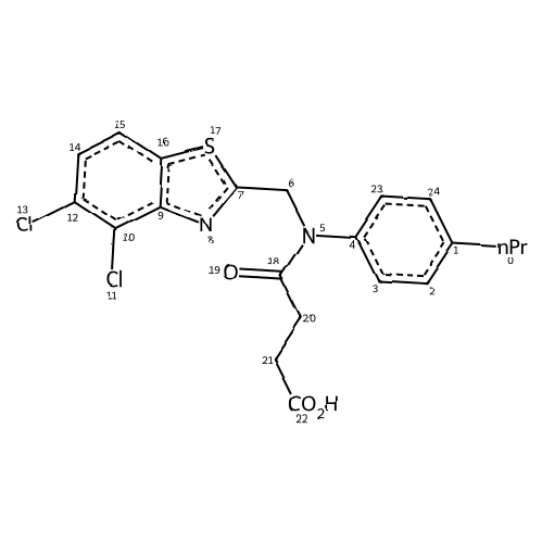 CCCc1ccc(N(Cc2nc3c(Cl)c(Cl)ccc3s2)C(=O)CCC(=O)O)cc1